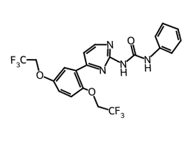 O=C(Nc1ccccc1)Nc1nccc(-c2cc(OCC(F)(F)F)ccc2OCC(F)(F)F)n1